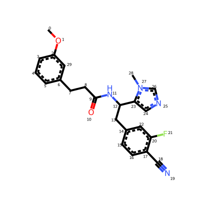 COc1cccc(CCC(=O)NC(Cc2ccc(C#N)c(F)c2)c2cncn2C)c1